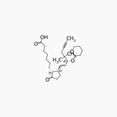 CC#CCC(C)(C)[C@@H](C=C[C@H]1CCC(=O)[C@@H]1CCCCCCC(=O)O)OC1CCCCO1